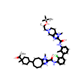 COC(=O)C1(C)CCC(C2CCCc3nc(C(=O)Nc4cccc(-c5cccc(NC(=O)c6nc7c(n6C)CCN(C[C@H](C)O[Si](C)(C)C(C)(C)C)C7)c5C)c4Cl)n(C)c3CC2)CC1